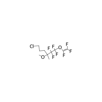 COC(C)(CCCCl)C(F)(F)C(F)(F)OC(F)=C(F)F